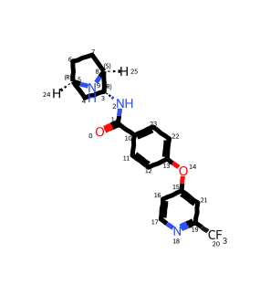 O=C(N[C@@H]1C[C@H]2CC[C@@H]1N2)c1ccc(Oc2ccnc(C(F)(F)F)c2)cc1